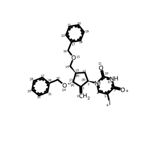 C=C1[C@H](n2cc(I)c(=O)[nH]c2=O)C[C@H](COCc2ccccc2)[C@H]1OCc1ccccc1